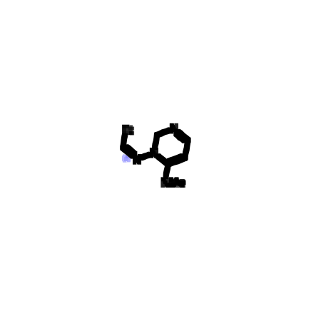 CC/C=N\N1CN=CC=C1NC